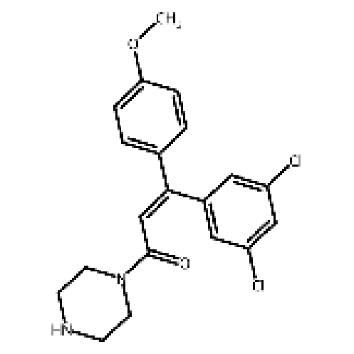 COc1ccc(C(=CC(=O)N2CCNCC2)c2cc(Cl)cc(Cl)c2)cc1